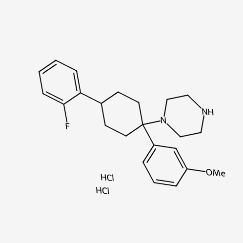 COc1cccc(C2(N3CCNCC3)CCC(c3ccccc3F)CC2)c1.Cl.Cl